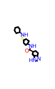 O=C(Nc1ccc(SNc2ccccc2)cc1)c1ccc2nc[nH]c2c1